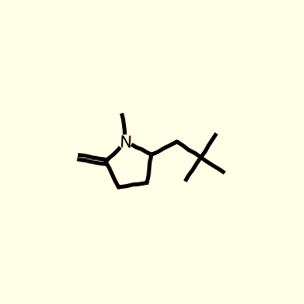 C=C1CCC(CC(C)(C)C)N1C